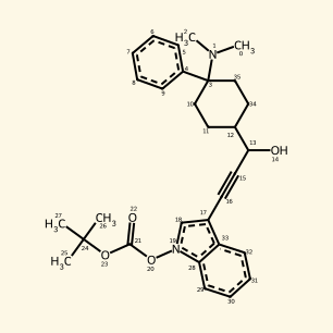 CN(C)C1(c2ccccc2)CCC(C(O)C#Cc2cn(OC(=O)OC(C)(C)C)c3ccccc23)CC1